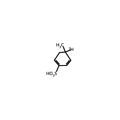 [2H]C1(C)C=CC(S(=O)(=O)O)=CC1